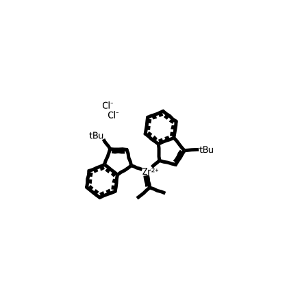 C[C](C)=[Zr+2]([CH]1C=C(C(C)(C)C)c2ccccc21)[CH]1C=C(C(C)(C)C)c2ccccc21.[Cl-].[Cl-]